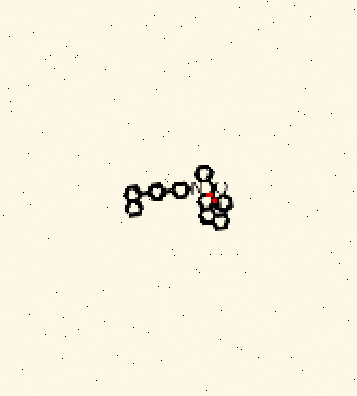 c1ccc(N(c2ccc(-c3ccc(-c4cccc5ccccc45)cc3)cc2)c2ccc3c(ccc4ccccc43)c2)c(-c2cc3ccccc3o2)c1